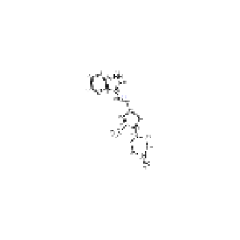 CC(=O)N1CCN(c2ccc(/C=C/c3n[nH]c4ccccc34)cc2[N+](=O)[O-])CC1